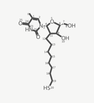 Cc1cn([C@@H]2O[C@H](CO)C(O)C2CCCCCCCCS)c(=O)[nH]c1=O